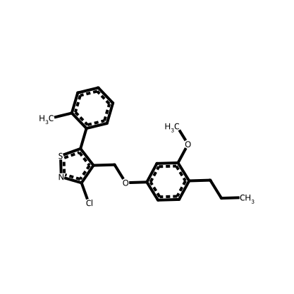 CCCc1ccc(OCc2c(Cl)nsc2-c2ccccc2C)cc1OC